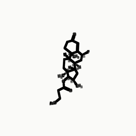 CC(=O)OCCC(=O)O[C@@H]1[C@H](C)C[C@H]2[C@@H]3C[C@H](F)C4=CC(=O)CC[C@]4(C)[C@H]3CC[C@]12C